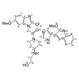 COc1ccc2nc(C(F)(F)F)n(CC(=O)N3CC[C@H](NCCO)C[C@H]3c3ncc(-c4cc5ccccc5nc4OC)[nH]3)c2c1